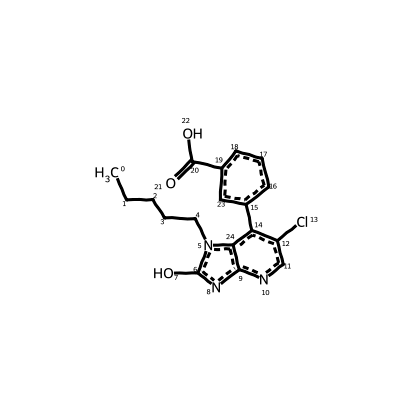 CCCCCn1c(O)nc2ncc(Cl)c(-c3cccc(C(=O)O)c3)c21